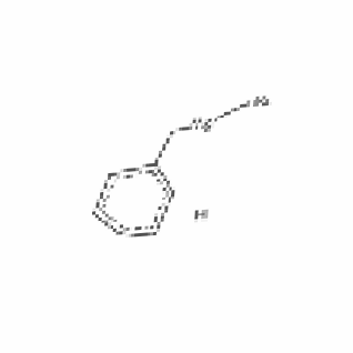 CCC[CH2][Mg][CH2]c1ccccc1.I